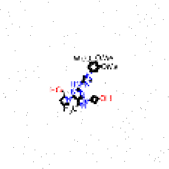 COc1cc(-n2cnc(Nc3nc(N4CCC[C@H]4CO)c4c(C)nn(C5CC(O)C5)c4n3)c2)cc(OC)c1OC